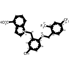 O=C(O)c1cccc2c1ccn2Cc1cc(Cl)ccc1OCc1ccc(C(F)(F)F)cc1C(F)(F)F